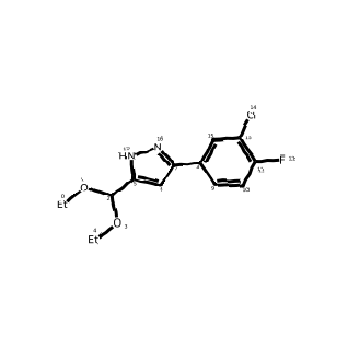 CCOC(OCC)c1cc(-c2ccc(F)c(Cl)c2)n[nH]1